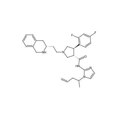 C=CCC(C)n1ccnc1NC(=O)[C@@H]1CN(CC[C@H]2Cc3ccccc3CN2)C[C@H]1c1ccc(F)cc1F